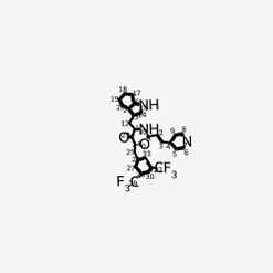 O=C(C=Cc1ccncc1)NC(Cc1c[nH]c2ccccc12)C(=O)CCc1cc(C(F)(F)F)cc(C(F)(F)F)c1